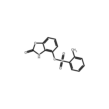 Cc1ccccc1S(=O)(=O)Oc1cccc2oc(=O)[nH]c12